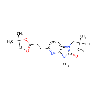 Cn1c(=O)n(CC(C)(C)C)c2ccc(CCC(=O)OC(C)(C)C)nc21